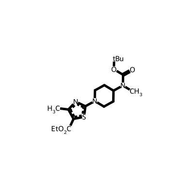 CCOC(=O)c1sc(N2CCC(N(C)C(=O)OC(C)(C)C)CC2)nc1C